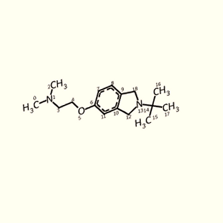 CN(C)CCOc1ccc2c(c1)CN(C(C)(C)C)C2